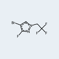 Fc1nn(CC(F)(F)F)cc1Br